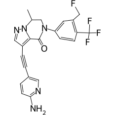 CC1CN(c2ccc(C(F)(F)F)c(CF)c2)C(=O)c2c(C#Cc3ccc(N)nc3)cnn21